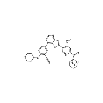 COc1cc(C(=O)N2CC3CCC2CO3)ncc1-c1cc2nccc(-c3ccc(OC4CCOCC4)c(C#N)c3)c2o1